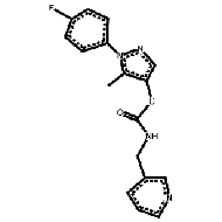 Cc1c(OC(=O)NCc2cccnc2)cnn1-c1ccc(F)cc1